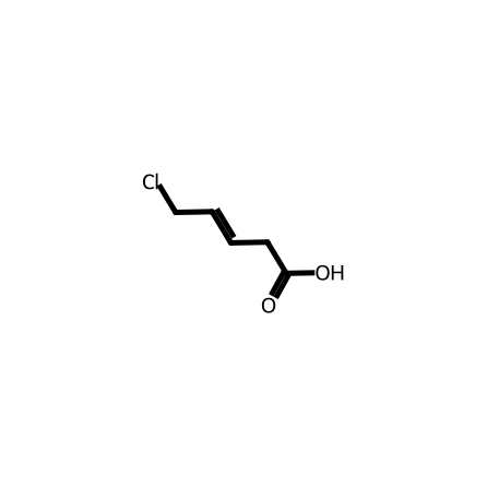 O=C(O)C/C=C/CCl